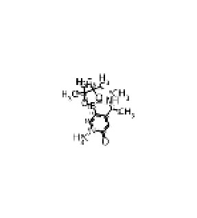 CN[C@@H](C)c1cc(=O)n(C)cc1B1OC(C)(C)C(C)(C)O1